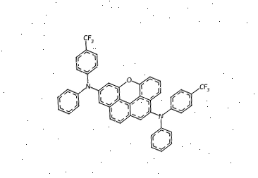 FC(F)(F)c1ccc(N(c2ccccc2)c2cc3c4c(ccc5cc(N(c6ccccc6)c6ccc(C(F)(F)F)cc6)c6cccc(c6c54)O3)c2)cc1